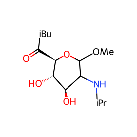 CCC(C)C(=O)[C@H]1OC(OC)C(NC(C)C)[C@@H](O)[C@@H]1O